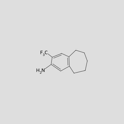 Nc1cc2c(cc1C(F)(F)F)CCCCC2